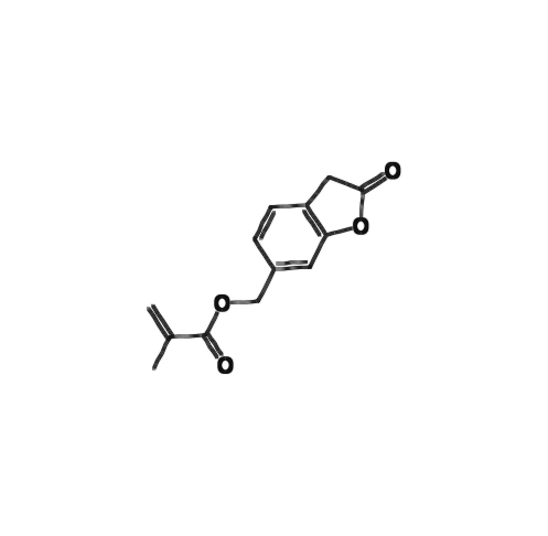 C=C(C)C(=O)OCc1ccc2c(c1)OC(=O)C2